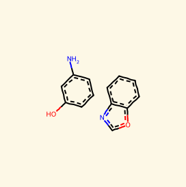 Nc1cccc(O)c1.c1ccc2ocnc2c1